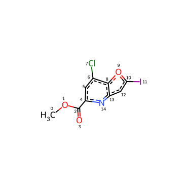 COC(=O)c1cc(Cl)c2oc(I)cc2n1